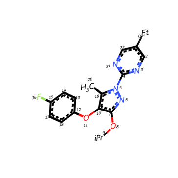 CCc1cnc(-n2nc(OC(C)C)c(Oc3ccc(F)cc3)c2C)nc1